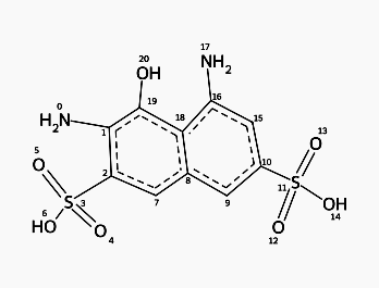 Nc1c(S(=O)(=O)O)cc2cc(S(=O)(=O)O)cc(N)c2c1O